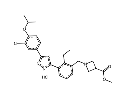 CCc1c(CN2CC(C(=O)OC)C2)cccc1-c1nnc(-c2ccc(OC(C)C)c(Cl)c2)s1.Cl